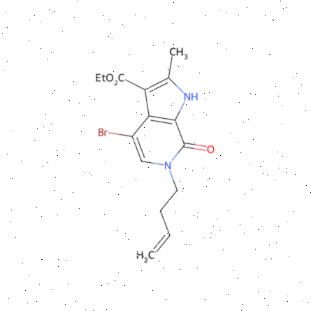 C=CCCn1cc(Br)c2c(C(=O)OCC)c(C)[nH]c2c1=O